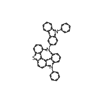 c1ccc(-n2c3ccccc3c3cc(-n4c5cccc6sc7ccc8c(c7c65)c5c4cccc5n8-c4ccccc4)ccc32)cc1